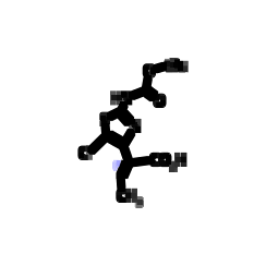 C/C=C(\C(=O)O)c1nc(NC(=O)OC(C)(C)C)sc1Cl